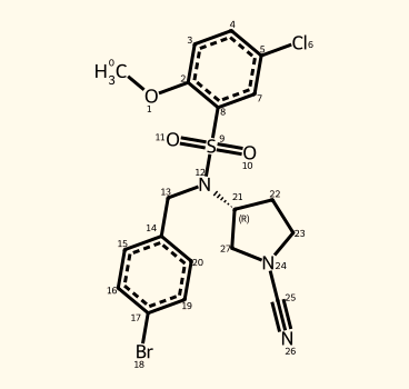 COc1ccc(Cl)cc1S(=O)(=O)N(Cc1ccc(Br)cc1)[C@@H]1CCN(C#N)C1